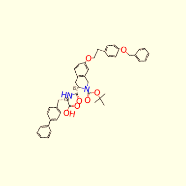 CC(C)(C)OC(=O)N1Cc2cc(OCCc3ccc(OCc4ccccc4)cc3)ccc2C[C@H]1C(=O)N[C@@H](Cc1ccc(-c2ccccc2)cc1)C(=O)O